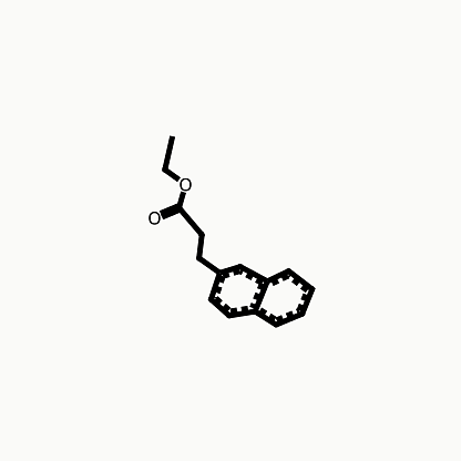 CCOC(=O)CCc1ccc2ccccc2c1